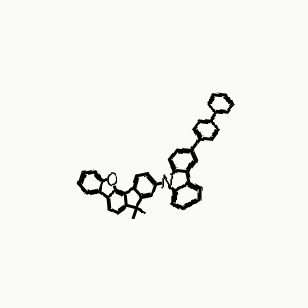 CC1(C)c2cc(-n3c4ccccc4c4cc(-c5ccc(-c6ccccc6)cc5)ccc43)ccc2-c2c1ccc1c2oc2ccccc21